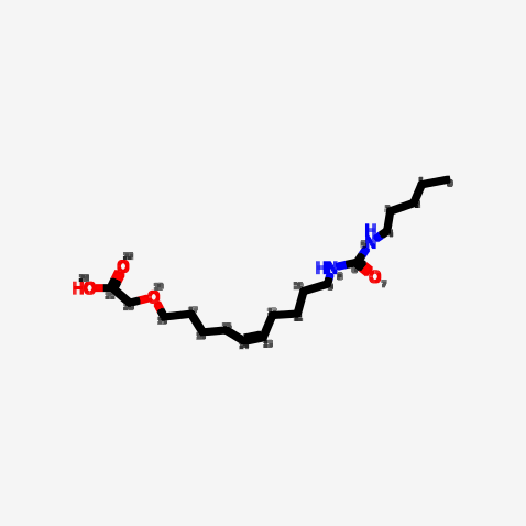 CCCCCNC(=O)NCCCC/C=C\CCCCOCC(=O)O